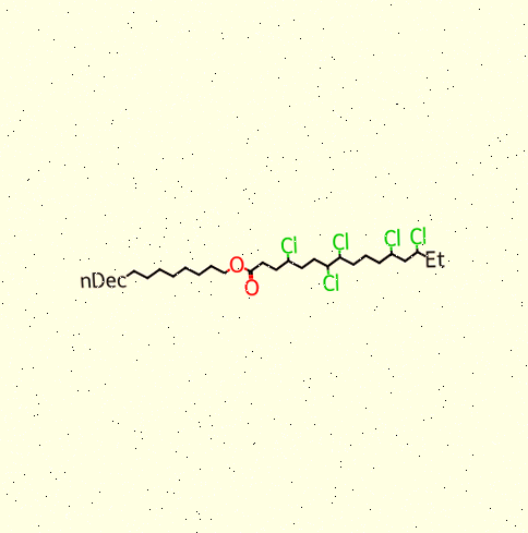 CCCCCCCCCCCCCCCCCCOC(=O)CCC(Cl)CCC(Cl)C(Cl)CCCC(Cl)CC(Cl)CC